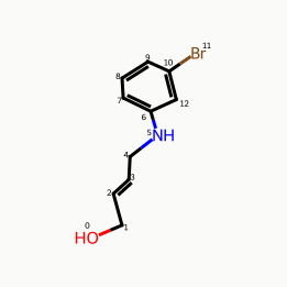 OCC=CCNc1cccc(Br)c1